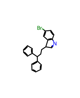 Brc1ccc2c(c1)C(CCC(c1ccccc1)c1ccccc1)C=N2